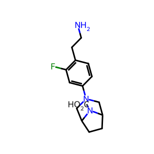 NCCc1ccc(N2CC3CCC(C2)N3C(=O)O)cc1F